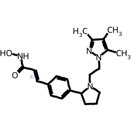 Cc1nn(CCN2CCCC2c2ccc(/C=C/C(=O)NO)cc2)c(C)c1C